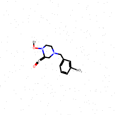 CCON1CCN(Cc2cccc([N+](=O)[O-])c2)CC1=C=O